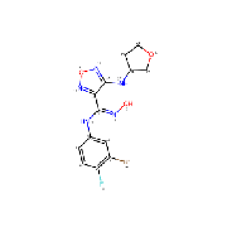 ON=C(Nc1ccc(F)c(Br)c1)c1nonc1NC1CCOC1